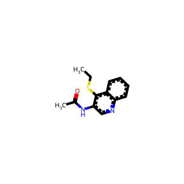 CCSc1c(NC(C)=O)cnc2ccccc12